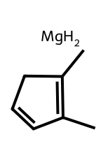 CC1=C(C)CC=C1.[MgH2]